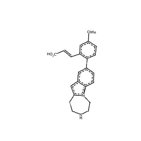 COc1ccc(-c2ccc3c(c2)cc2n3CCNCC2)c(/C=C/C(=O)O)c1